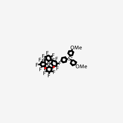 COc1ccc([S+](c2ccccc2)c2ccc(OC)cc2)cc1.Fc1c(F)c(F)c([B-](c2c(F)c(F)c(F)c(F)c2F)(c2c(F)c(F)c(F)c(F)c2F)c2c(F)c(F)c(F)c(F)c2F)c(F)c1F